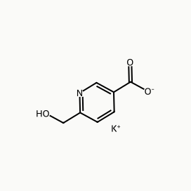 O=C([O-])c1ccc(CO)nc1.[K+]